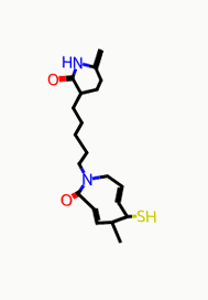 C=C1CCC(CCCCCN2C/C=C/C(S)C(C)/C=C/C2=O)C(=O)N1